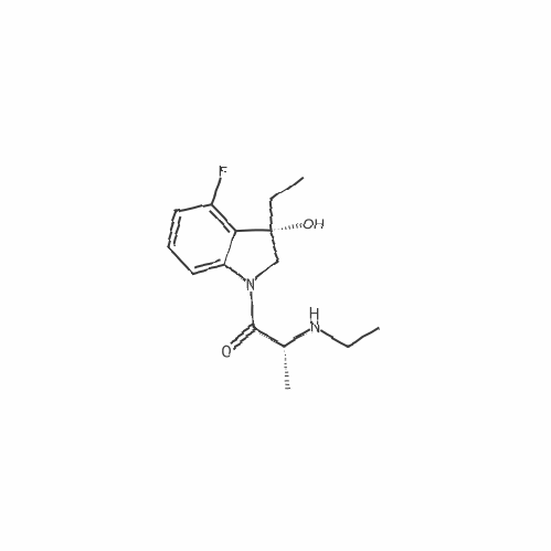 CCN[C@H](C)C(=O)N1C[C@](O)(CC)c2c(F)cccc21